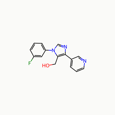 OCc1c(-c2cccnc2)ncn1-c1cccc(F)c1